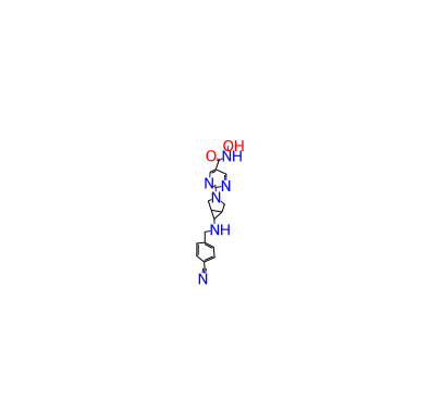 N#Cc1ccc(CNC2C3CN(c4ncc(C(=O)NO)cn4)CC32)cc1